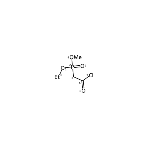 CCOP(=O)(CC(=O)Cl)OC